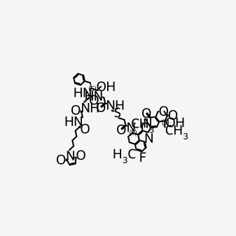 CC[C@@]1(O)C(=O)OCc2c1cc1n(c2=O)Cc2c-1nc1cc(F)c(C)c3c1c2[C@@H](N(C)C(=O)CCSCNC(=O)CNC(O)[C@H](Cc1ccccc1)NC(=O)CNC(=O)CNC(=O)CCCCCN1C(=O)C=CC1=O)CC3